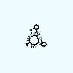 C[C@@H]1[C@H](NC(=O)c2ccccc2O)C(=O)N[C@@H](Cc2cccnc2)[C@@H](O)[C@@H](C)C(=O)NC(C2CC2)C(=O)N1C